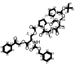 C[C@H]1C[C@@H](C(=O)O[C@@H](C)[C@H](NC(=O)OCc2ccccc2)C(=O)OCC(=O)c2ccccc2)N(C(=O)[C@H](C)NC(=O)[C@H](C)N(C)C(=O)[C@@H]2CCCN2C(=O)OC(C)(C)C)C1